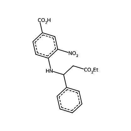 CCOC(=O)CC(Nc1ccc(C(=O)O)cc1[N+](=O)[O-])c1ccccc1